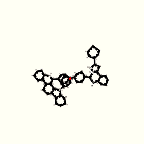 c1ccc(-c2cc3c4ccccc4nc(-c4ccc(-c5ccc(-c6nc7ccccc7c7ccc8c9ccccc9n(-c9ccccc9)c8c67)cc5)cc4)n3n2)cc1